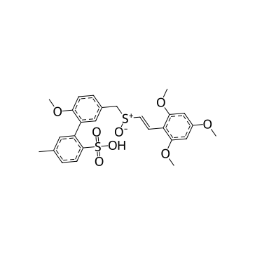 COc1cc(OC)c(C=C[S+]([O-])Cc2ccc(OC)c(-c3cc(C)ccc3S(=O)(=O)O)c2)c(OC)c1